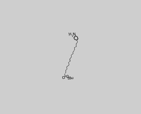 CC(C)(C)OC(=O)CCCCCCCCCCCCCCCCCCc1ccc(N)cc1